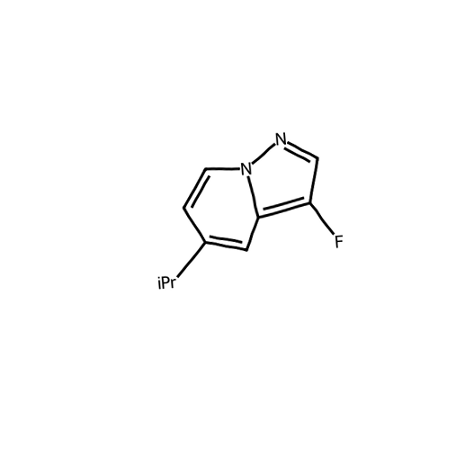 CC(C)c1ccn2ncc(F)c2c1